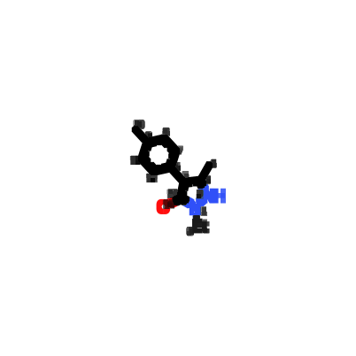 CCn1[nH]c(C)c(-c2ccc(C)cc2)c1=O